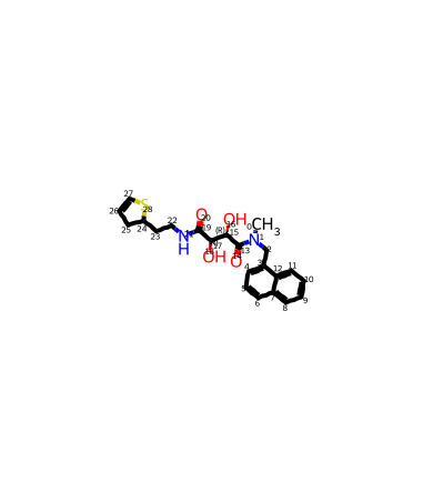 CN(Cc1cccc2ccccc12)C(=O)[C@H](O)[C@@H](O)C(=O)NCCC1CC=CS1